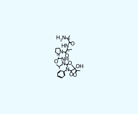 CC(=O)C(C)(O)C(=O)N(C(=O)N(NC(=O)[C@@H]1CCCN1C(=O)[C@H](C)NC(=O)[C@H](C)N)C(C)C)c1ccccc1